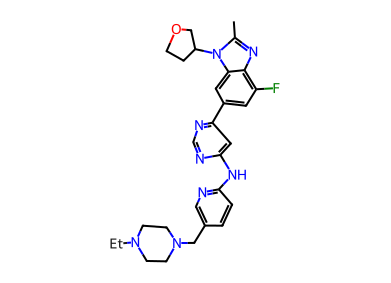 CCN1CCN(Cc2ccc(Nc3cc(-c4cc(F)c5nc(C)n(C6CCOC6)c5c4)ncn3)nc2)CC1